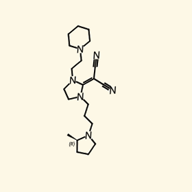 C[C@@H]1CCCN1CCCN1CCN(CCN2CCCCC2)C1=C(C#N)C#N